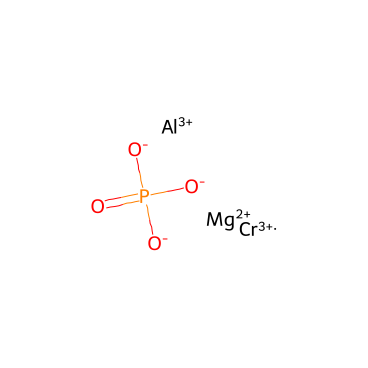 O=P([O-])([O-])[O-].[Al+3].[Cr+3].[Mg+2]